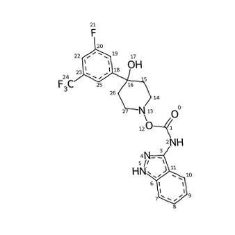 O=C(Nc1n[nH]c2ccccc12)ON1CCC(O)(c2cc(F)cc(C(F)(F)F)c2)CC1